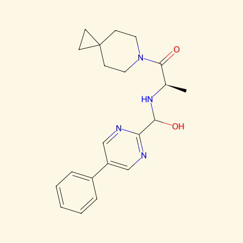 C[C@@H](NC(O)c1ncc(-c2ccccc2)cn1)C(=O)N1CCC2(CC1)CC2